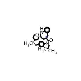 CC(C)CN(C(=O)/C1=C/c2ccccc2NCCC1)c1ccc(CN(C)C2CCOCC2)cc1